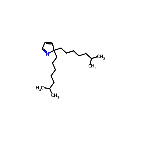 CC(C)CCCCCC1(CCCCCC(C)C)C=CC=N1